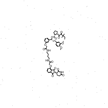 CCC(C)(C)C(=O)C(=O)N1CCC[C@H]1C(=O)O[C@H](CCc1ccc(OC)c(OC)c1)c1cccc(OCC(=O)NCCCCNC(=O)COc2cccc3c2C(=O)N(C2CCC(=O)NC2=O)C3=O)c1